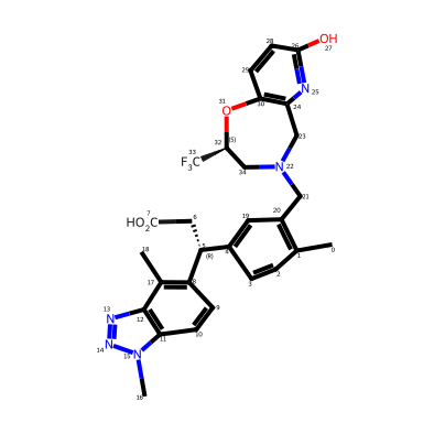 Cc1ccc([C@@H](CC(=O)O)c2ccc3c(nnn3C)c2C)cc1CN1Cc2nc(O)ccc2O[C@H](C(F)(F)F)C1